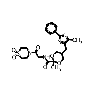 Cc1oc(-c2ccccc2)nc1CC1COC(C)(C(=O)NCC(=O)N2CCS(=O)(=O)CC2)OC1